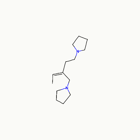 CC=C(CCN1CCCC1)CN1CCCC1